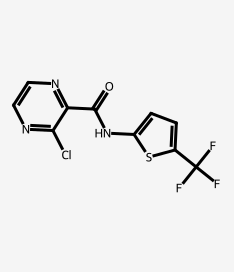 O=C(Nc1ccc(C(F)(F)F)s1)c1nccnc1Cl